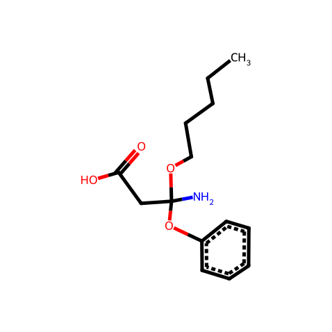 CCCCCOC(N)(CC(=O)O)Oc1ccccc1